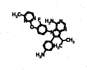 Cc1ccnc(Oc2ccc(-n3c(-c4ccc(N)cc4)c(C(C)C)c4ncnc(N)c43)cc2F)n1